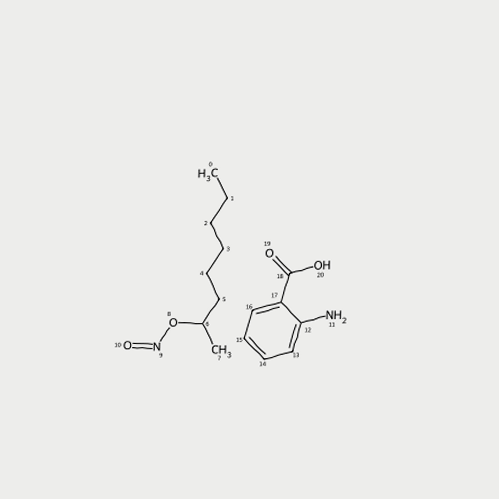 CCCCCCC(C)ON=O.Nc1ccccc1C(=O)O